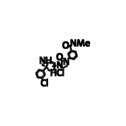 CNC(=O)c1cccc(N2CCN([C@H]3CC[C@@](CN)(c4cccc(Cl)c4)CC3)C2=O)c1.Cl